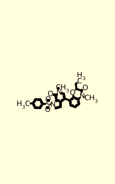 CCC1Oc2c(-c3cn(C)c(=O)c4c3ccn4S(=O)(=O)c3ccc(C)cc3)cccc2N(C)C1=O